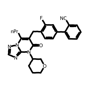 CCCc1c(Cc2ccc(-c3ccccc3C#N)cc2F)c(=O)n(C2CCCOC2)c2ncnn12